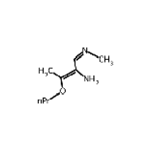 CCCO/C(C)=C(N)/C=N\C